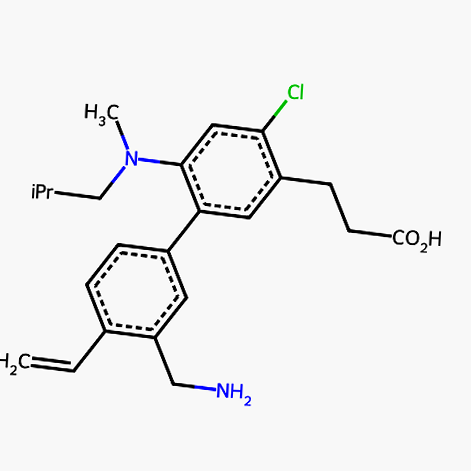 C=Cc1ccc(-c2cc(CCC(=O)O)c(Cl)cc2N(C)CC(C)C)cc1CN